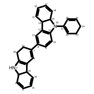 C1=CC2NC3=C(C=C(c4ccc5c(c4)C4C=CC=CC4N5C4=CCCC=C4)CC3)C2C=C1